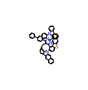 c1ccc(-c2ccc(-c3nc(-c4cccc5c6ccccc6n(-c6ccccc6)c45)nc4c3Cc3ccc5c6cc7ccccc7cc6n(c5c3)-c3ccc5sc6cc7ccccc7cc6c5c3-4)cc2)cc1